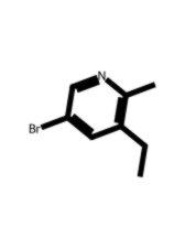 CCc1cc(Br)cnc1C